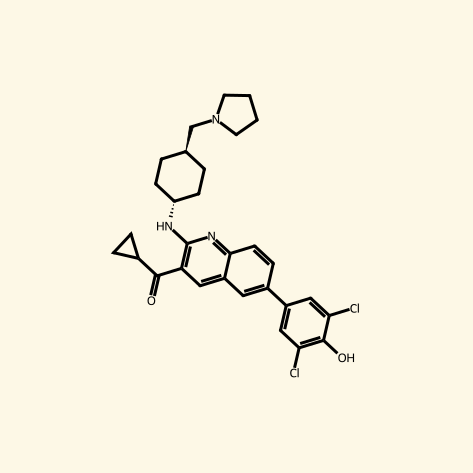 O=C(c1cc2cc(-c3cc(Cl)c(O)c(Cl)c3)ccc2nc1N[C@H]1CC[C@H](CN2CCCC2)CC1)C1CC1